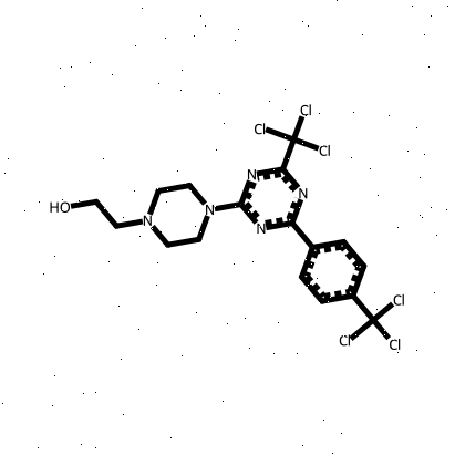 OCCN1CCN(c2nc(-c3ccc(C(Cl)(Cl)Cl)cc3)nc(C(Cl)(Cl)Cl)n2)CC1